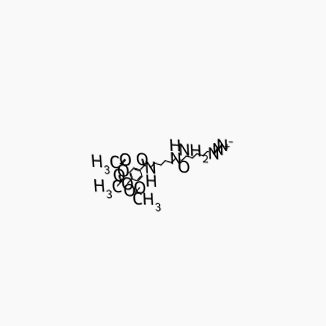 CC(=O)Oc1cc(C(=O)NCCCCNC(=O)[C@H](N)CCCCN=[N+]=[N-])cc(OC(C)=O)c1OC(C)=O